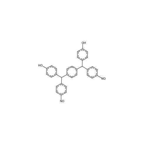 O=Nc1ccc(C(c2ccc(O)cc2)c2ccc(C(c3ccc(O)cc3)c3ccc(N=O)cc3)cc2)cc1